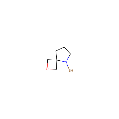 SN1CCCC12COC2